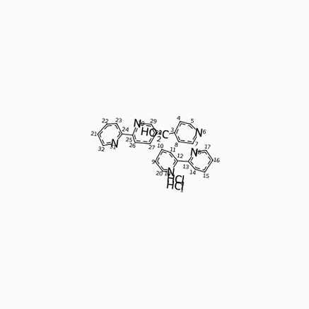 Cl.Cl.O=C(O)c1ccncc1.c1ccc(-c2ccccn2)nc1.c1ccc(-c2ccccn2)nc1